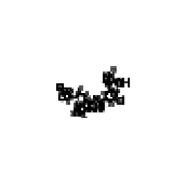 C[C@H](C[C@H]1COS(=O)O1)Cn1/c(=N/C(=O)c2cc(Cl)nc(-c3cnn(C)c3O)c2)[nH]c2cn(C)nc21